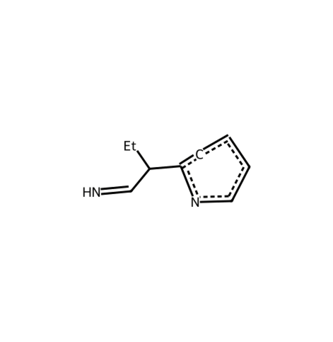 CCC(C=N)c1ccccn1